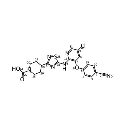 N#Cc1ccc(Oc2cc(Cl)cnc2Nc2nc(C3CCN(C(=O)O)CC3)ns2)cc1